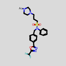 CC(=O)N1CCN(CCCS(=O)(=O)N(Cc2ccc(-c3nnc(C(F)F)o3)cc2)c2ccccc2)CC1